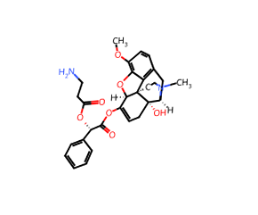 COc1ccc2c3c1O[C@@H]1C(OC(=O)[C@@H](OC(=O)CCN)c4ccccc4)=CC[C@]4(O)[C@H](C2)N(C)CC[C@@]314